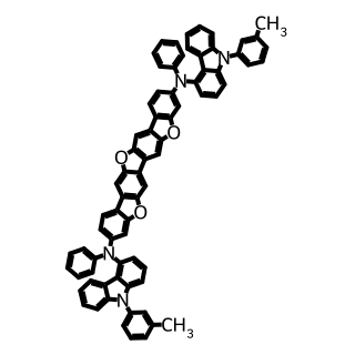 Cc1cccc(-n2c3ccccc3c3c(N(c4ccccc4)c4ccc5c(c4)oc4cc6c(cc45)oc4cc5c(cc46)oc4cc(N(c6ccccc6)c6cccc7c6c6ccccc6n7-c6cccc(C)c6)ccc45)cccc32)c1